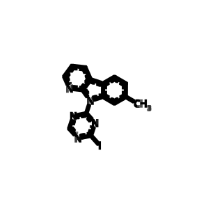 Cc1ccc2c3cccnc3n(-c3ncnc(I)n3)c2c1